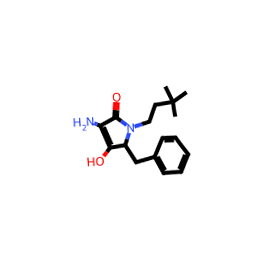 CC(C)(C)CCN1C(=O)C(N)=C(O)C1Cc1ccccc1